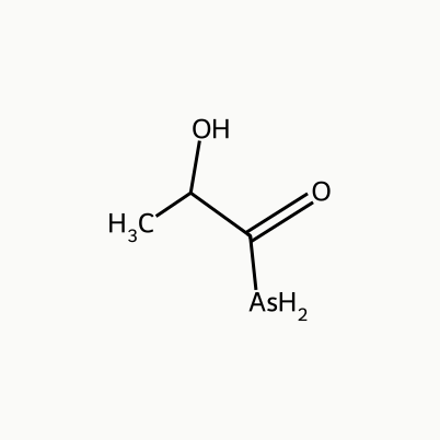 CC(O)C(=O)[AsH2]